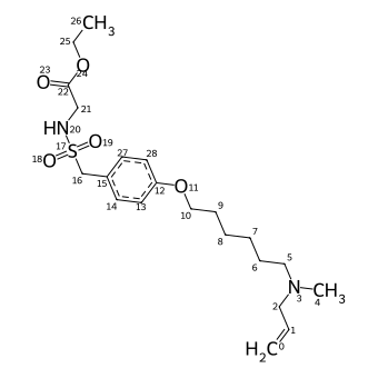 C=CCN(C)CCCCCCOc1ccc(CS(=O)(=O)NCC(=O)OCC)cc1